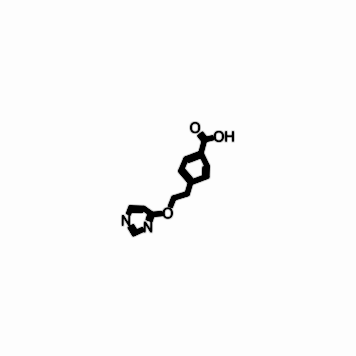 O=C(O)c1ccc(CCOc2ccncn2)cc1